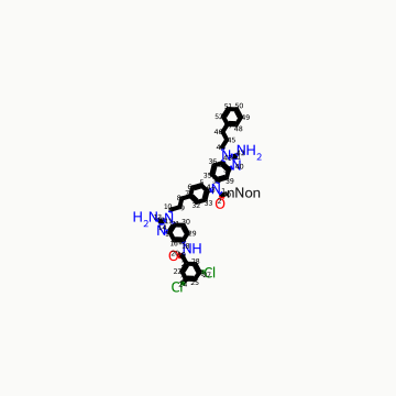 CCCCCCCCCC(=O)N(c1ccc(CCCn2c(N)nc3cc(NC(=O)c4cc(Cl)cc(Cl)c4)ccc32)cc1)c1ccc2c(c1)nc(N)n2CCCc1ccccc1